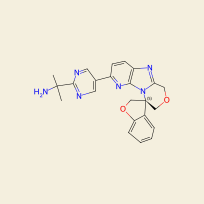 CC(C)(N)c1ncc(-c2ccc3nc4n(c3n2)[C@@]2(COC4)COc3ccccc32)cn1